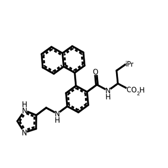 CC(C)CC(NC(=O)c1ccc(NCc2cnc[nH]2)cc1-c1cccc2ccccc12)C(=O)O